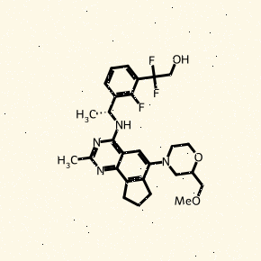 COCC1CN(c2cc3c(N[C@H](C)c4cccc(C(F)(F)CO)c4F)nc(C)nc3c3c2CCC3)CCO1